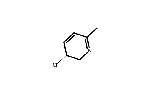 CC1=NC[C@H](Cl)C=C1